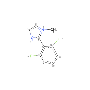 Cn1ccnc1-c1c(F)cccc1F